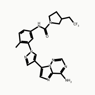 Cc1ccc(NC(=O)N2CCC(CC(F)(F)F)C2)cc1-n1cc(-c2cnc3c(N)ncnn23)cn1